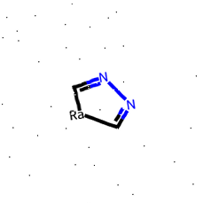 [CH]1=NN=[CH][Ra]1